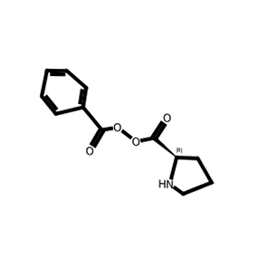 O=C(OOC(=O)[C@H]1CCCN1)c1ccccc1